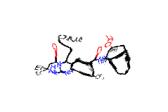 CCC1(CC)CC(=O)N(C(CCOC)c2ccc(C(F)(F)F)c(C(=O)N[C@@H]3c4ccccc4C[C@H]3O)c2)C(=N)N1